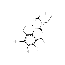 CCc1c(O)c(O)c(O)c(CC)c1N(C)C(=O)N(CC)C(=N)N